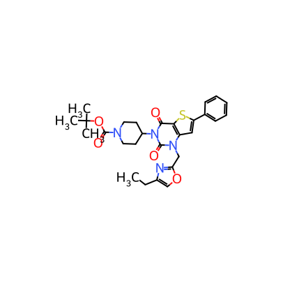 CCc1coc(Cn2c(=O)n(C3CCN(C(=O)OC(C)(C)C)CC3)c(=O)c3sc(-c4ccccc4)cc32)n1